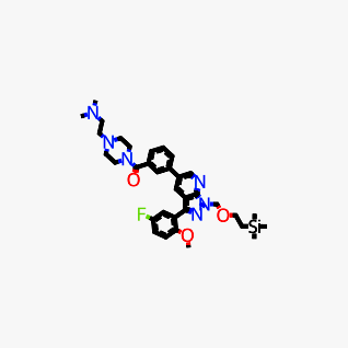 COc1ccc(F)cc1-c1nn(COCC[Si](C)(C)C)c2ncc(-c3cccc(C(=O)N4CCN(CCN(C)C)CC4)c3)cc12